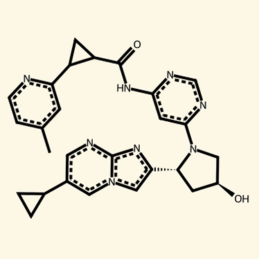 Cc1ccnc(C2CC2C(=O)Nc2cc(N3C[C@@H](O)C[C@@H]3c3cn4cc(C5CC5)cnc4n3)ncn2)c1